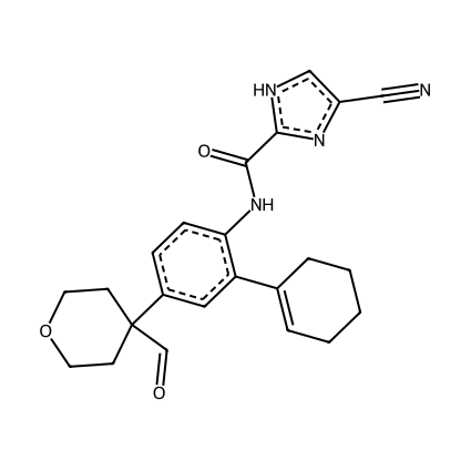 N#Cc1c[nH]c(C(=O)Nc2ccc(C3(C=O)CCOCC3)cc2C2=CCCCC2)n1